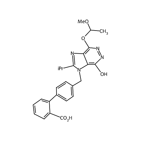 COC(C)Oc1nnc(O)c2c1nc(C(C)C)n2Cc1ccc(-c2ccccc2C(=O)O)cc1